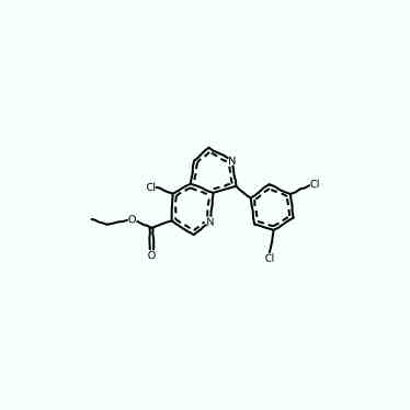 CCOC(=O)c1cnc2c(-c3cc(Cl)cc(Cl)c3)nccc2c1Cl